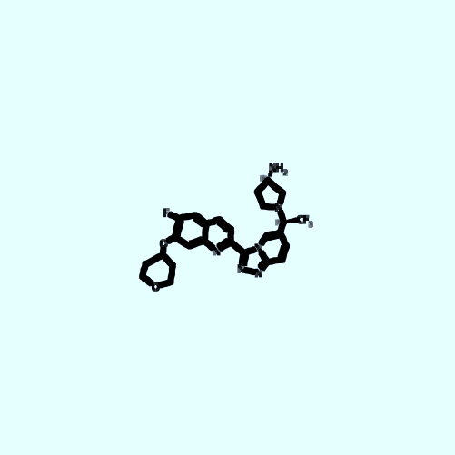 N[C@H]1CCN([C@H](c2ccc3nnc(-c4ccc5cc(F)c(OC6CCOCC6)cc5n4)n3c2)C(F)(F)F)C1